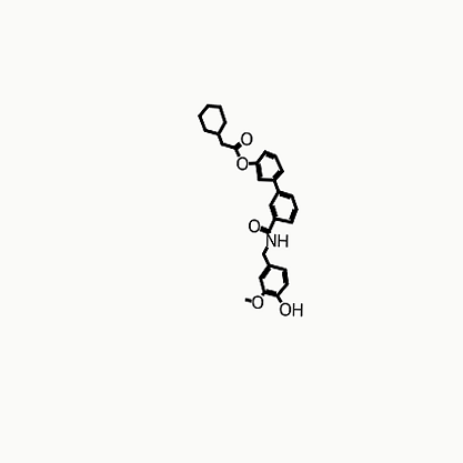 COc1cc(CNC(=O)c2cccc(-c3cccc(OC(=O)CC4CCCCC4)c3)c2)ccc1O